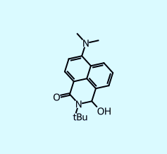 CN(C)c1ccc2c3c(cccc13)C(O)N(C(C)(C)C)C2=O